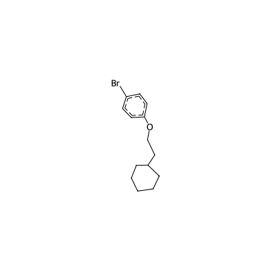 Brc1ccc(OCCC2CCCCC2)cc1